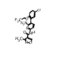 Cc1nocc1C(=O)Nc1ccc(-c2cc(Cl)ccc2OCC(F)(F)F)c(N)n1